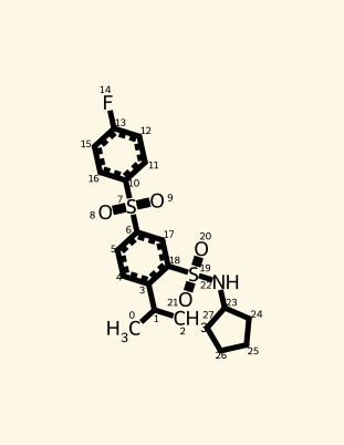 CC(C)c1ccc(S(=O)(=O)c2ccc(F)cc2)cc1S(=O)(=O)NC1CCCC1